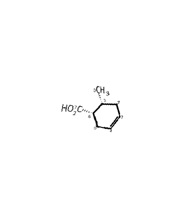 C[C@@H]1CC=CC[C@@H]1C(=O)O